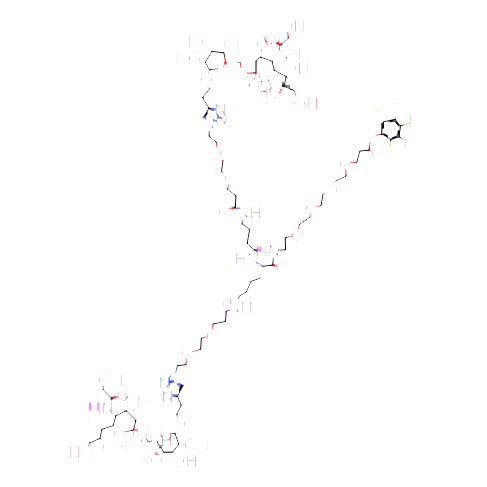 O=C(CCOCCOCCn1cc(CCO[C@@H]2O[C@H](CO[C@]3(C(=O)O)C[C@@H](O)[C@H](NC(=O)CO)[C@@H]([C@@H](O)[C@@H](O)CO)O3)[C@H](O)[C@H](O)[C@H]2O)nn1)NCCCC[C@@H](NC(=O)CCCNC(=O)CCOCCOCCn1cc(CCO[C@@H]2O[C@H](CO[C@]3(C(=O)O)C[C@@H](O)[C@H](NC(=O)CO)[C@@H]([C@@H](O)[C@@H](O)CO)O3)[C@H](O)[C@H](O)[C@H]2O)nn1)C(=O)NCCOCCOCCOCCOCCC(=O)Oc1c(F)c(F)c(F)c(F)c1F